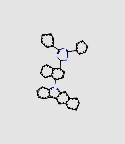 c1ccc(C2=NC(c3ccc(-n4c5ccccc5c5cc6ccccc6cc54)c4ccccc34)NC(c3ccccc3)=N2)cc1